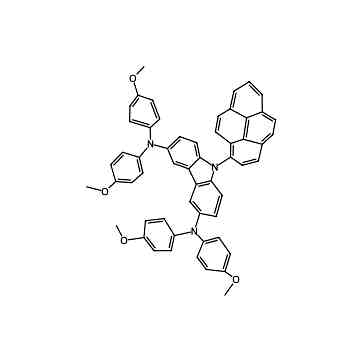 COc1ccc(N(c2ccc(OC)cc2)c2ccc3c(c2)c2cc(N(c4ccc(OC)cc4)c4ccc(OC)cc4)ccc2n3-c2ccc3ccc4cccc5ccc2c3c45)cc1